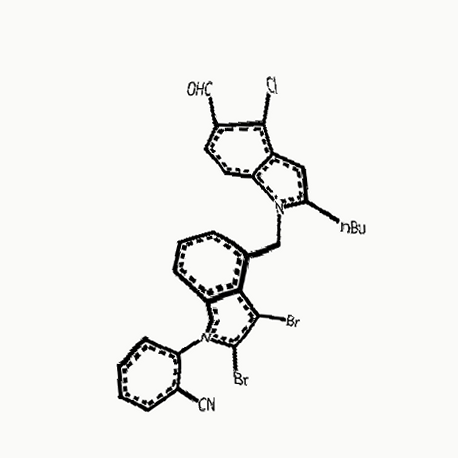 CCCCc1cc2c(Cl)c(C=O)ccc2n1Cc1cccc2c1c(Br)c(Br)n2-c1ccccc1C#N